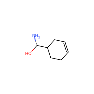 N[C@@H](O)C1CC=CCC1